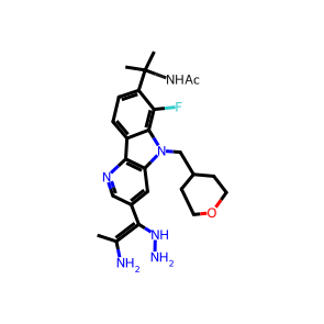 CC(=O)NC(C)(C)c1ccc2c3ncc(/C(NN)=C(\C)N)cc3n(CC3CCOCC3)c2c1F